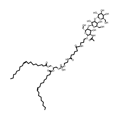 CCCCCCCC/C=C\CCCCCCCC(=O)OC[C@H](COP(=O)(O)OCCNC(=O)CCCCC(=O)NCCCO[C@@H]1O[C@H](CO)[C@@H](O[C@@H]2O[C@H](CO)[C@H](O)[C@H](O[C@H]3O[C@H](CO)[C@H](O)[C@H](O)[C@H]3O)[C@H]2O)[C@H](O)[C@H]1NC(C)=O)OC(=O)CCCCCCC/C=C\CCCCCCCC